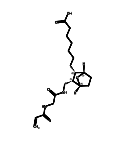 C=CC(=S)NCC(=O)NC[C@@H]1[C@H](CCCCCCC(=O)O)[C@@H]2CC[C@H]1O2